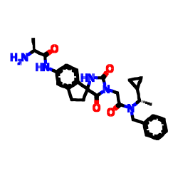 C[C@H](N)C(=O)Nc1ccc2c(c1)CCC21NC(=O)N(CC(=O)N(Cc2ccccc2)[C@@H](C)C2CC2)C1=O